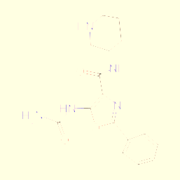 NC(=O)Nc1oc(-c2ccccc2)nc1C(=O)N[C@H]1CCCNC1